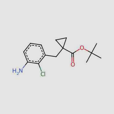 CC(C)(C)OC(=O)C1(Cc2cccc(N)c2Cl)CC1